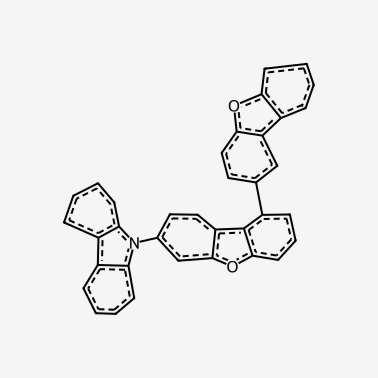 c1ccc2c(c1)oc1ccc(-c3cccc4oc5cc(-n6c7ccccc7c7ccccc76)ccc5c34)cc12